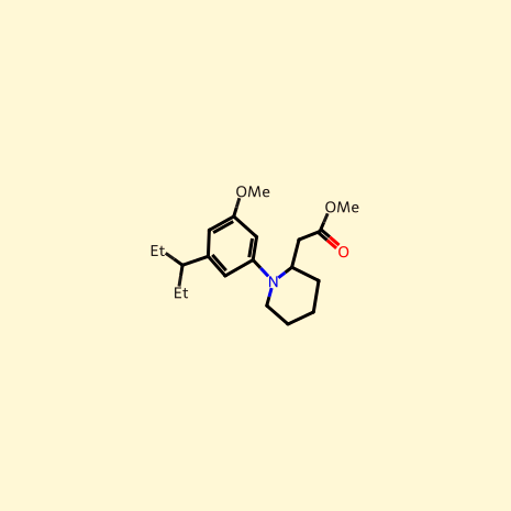 CCC(CC)c1cc(OC)cc(N2CCCCC2CC(=O)OC)c1